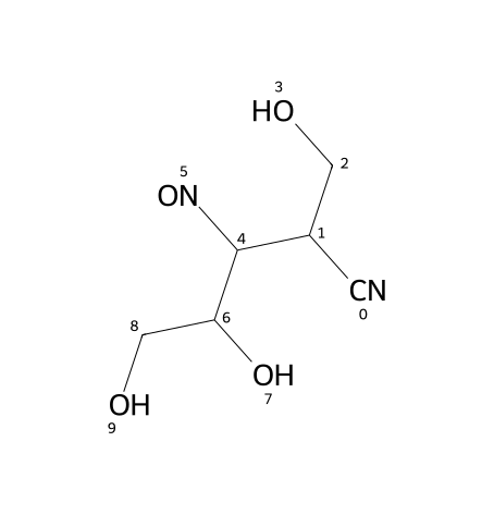 N#CC(CO)C(N=O)C(O)CO